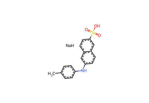 Cc1ccc(Nc2ccc3cc(S(=O)(=O)O)ccc3c2)cc1.[NaH]